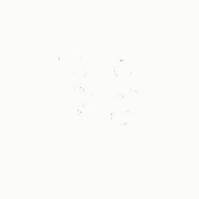 COc1ccc(N2C(=O)c3ccccc3C23CCC(C#N)(Nc2cccc(Br)c2)CC3)cc1